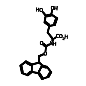 O=C(N[C@@H](Cc1ccc(O)c(O)c1)C(=O)O)OCC1c2ccccc2-c2ccccc21